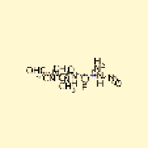 Cc1cc(N(C)CCC(C#N)(C=O)C2CC2)cc(C(=O)NCc2cc(F)cc(/C(=C/NCCN3CCOCC3)CN)c2)n1